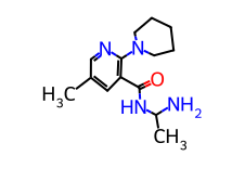 Cc1cnc(N2CCCCC2)c(C(=O)NC(C)N)c1